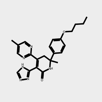 CCCCOc1ccc(C2(C)CC(c3ncc(C)cn3)=C(c3nnc[nH]3)C(=O)N2)cc1